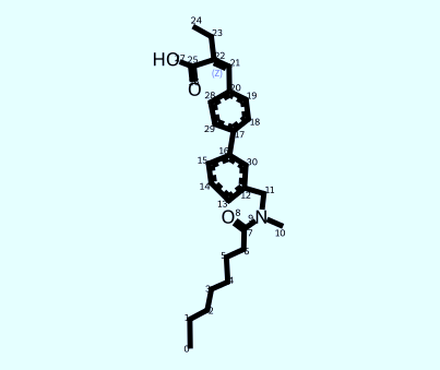 CCCCCCCC(=O)N(C)Cc1cccc(-c2ccc(/C=C(/CC)C(=O)O)cc2)c1